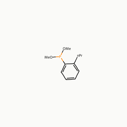 CCCc1ccccc1P(OC)OC